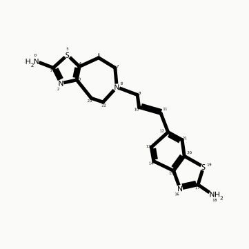 Nc1nc2c(s1)CCN(CC=Cc1ccc3nc(N)sc3c1)CC2